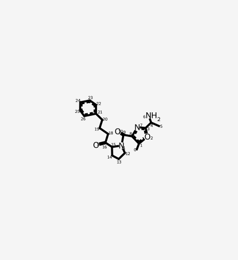 Cc1oc(C(C)N)nc1C(=O)N1CCCC1C(=O)CCCc1ccccc1